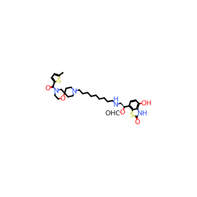 Cc1ccc(C(=O)N2CCOC3(CCN(CCCCCCCCCNC[C@H](OC=O)c4ccc(O)c5[nH]c(=O)sc45)CC3)C2)s1